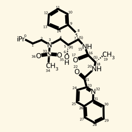 CC(C)CCN(C[C@@H](O)[C@H](Cc1ccccc1)NC(=O)[C@H](C)NC(=O)c1ccc2ccccc2n1)S(C)(=O)=O